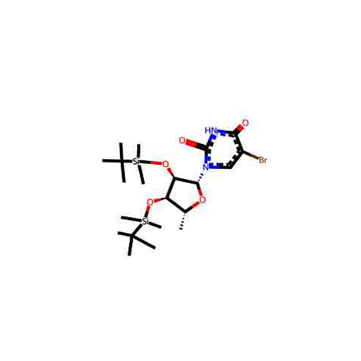 C[C@H]1O[C@@H](n2cc(Br)c(=O)[nH]c2=O)[C@H](O[Si](C)(C)C(C)(C)C)[C@@H]1O[Si](C)(C)C(C)(C)C